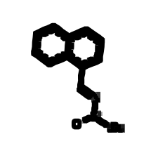 CC(C)(C)[S+]([O-])N=Cc1cccc2ccccc12